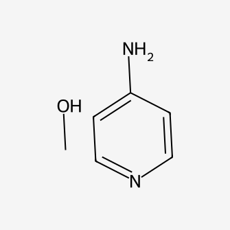 CO.Nc1ccncc1